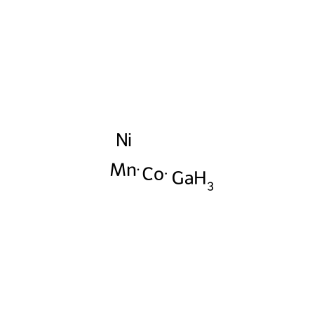 [Co].[GaH3].[Mn].[Ni]